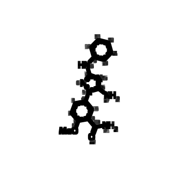 COc1ccc(-n2nc(Nc3ccccc3)nc2N)cc1C(N)=O